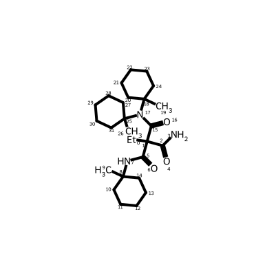 CCC(C(N)=O)(C(=O)NC1(C)CCCCC1)C(=O)N(C1(C)CCCCC1)C1(C)CCCCC1